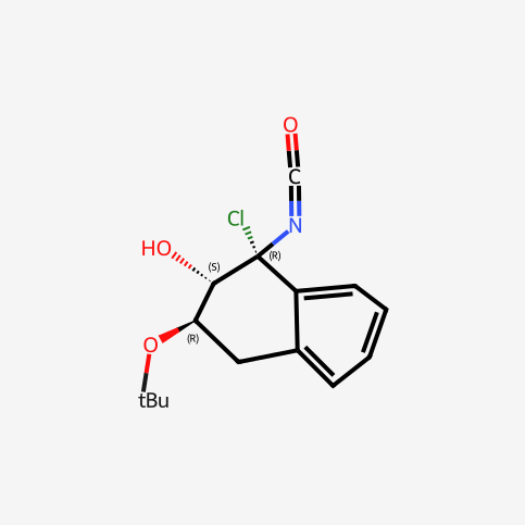 CC(C)(C)O[C@@H]1Cc2ccccc2[C@](Cl)(N=C=O)[C@H]1O